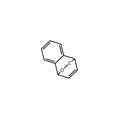 C1=CC2OCC1c1ccccc12